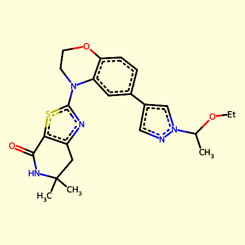 CCOC(C)n1cc(-c2ccc3c(c2)N(c2nc4c(s2)C(=O)NC(C)(C)C4)CCO3)cn1